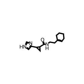 O=C(NCCC1=CCCCC1)C1CC1c1c[nH]cn1